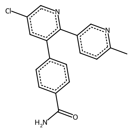 Cc1ccc(-c2ncc(Cl)cc2-c2ccc(C(N)=O)cc2)cn1